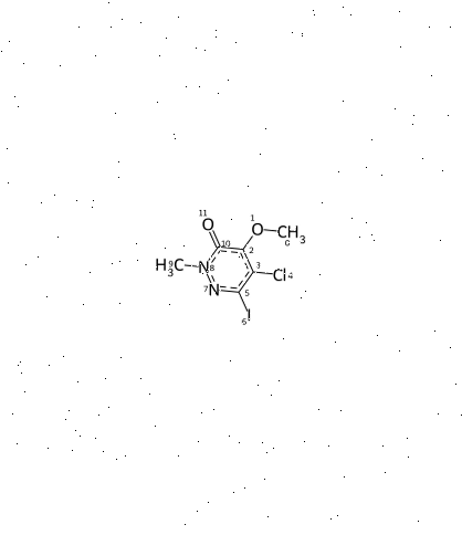 COc1c(Cl)c(I)nn(C)c1=O